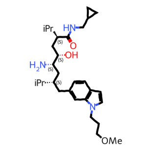 COCCCn1ccc2ccc(C[C@@H](C[C@H](N)[C@@H](O)C[C@H](C(=O)NCC3CC3)C(C)C)C(C)C)cc21